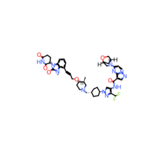 C[C@H]1CN(C[C@H]2CC[C@H](n3cc(NC(=O)c4cnn5ccc(N6C[C@H]7C[C@@H]6CO7)nc45)c(C(F)F)n3)CC2)CC[C@@H]1OCC#Cc1cccc2c1n(C)c(=O)n2[C@@H]1CCC(=O)NC1=O